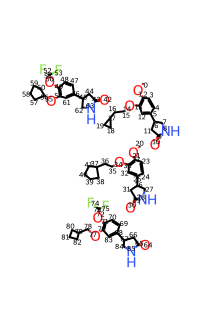 COc1ccc(C2CNC(=O)C2)cc1OCCC1CC1.COc1ccc(C2CNC(=O)C2)cc1OCCC1CCCC1.O=C1CC(c2ccc(OC(F)F)c(OC3CCCC3)c2)CN1.O=C1CC(c2ccc(OC(F)F)c(OCC3CCC3)c2)CN1